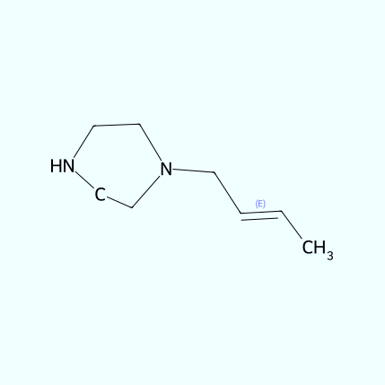 C/C=C/CN1CCNCC1